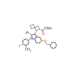 COC(=O)C1CC2(CCC2)C1c1c(C(C)C)n(-c2ccc(F)c(C)c2)c2ccc(OCc3ccccc3)cc12